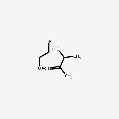 CC(=O)C(C)C.CC(=O)OCCC(C)C